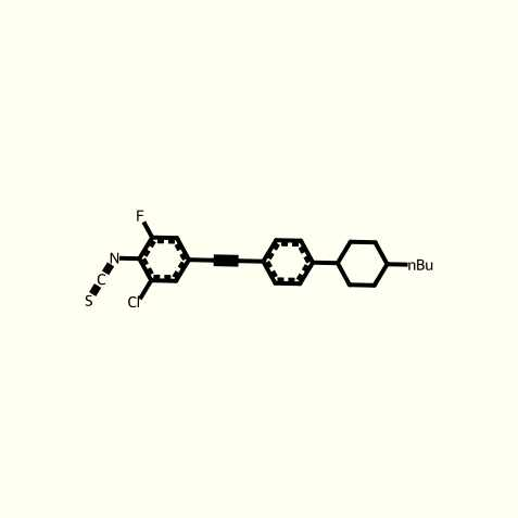 CCCCC1CCC(c2ccc(C#Cc3cc(F)c(N=C=S)c(Cl)c3)cc2)CC1